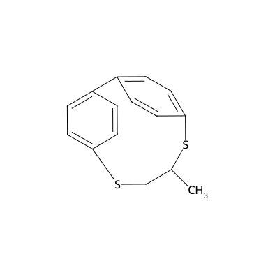 CC1CSc2ccc(cc2)-c2ccc(cc2)S1